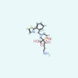 NCCCCC1(C(=O)O)CN(Cc2ccccc2-c2nccs2)CCP1(=O)O